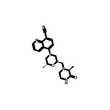 C[C@@H]1CN(c2ccc(C#N)c3ncccc23)C[C@@H](CN2CCNC(=O)[C@@H]2C)O1